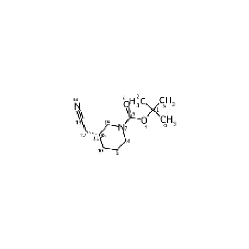 CC(C)(C)OC(=O)N1CCC[C@H](CC#N)C1